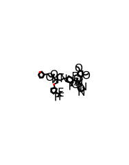 COc1ccc(CN(c2ccncn2)S(=O)(=O)c2c(F)cc(N3CCCC(CCc4cccc(C(F)(F)F)c4)(N(C)C(=O)OCc4ccccc4)C3)cc2F)c(OC)c1